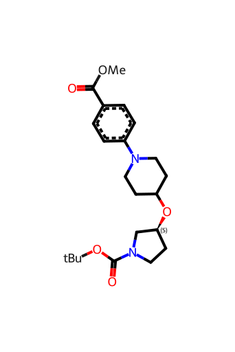 COC(=O)c1ccc(N2CCC(O[C@H]3CCN(C(=O)OC(C)(C)C)C3)CC2)cc1